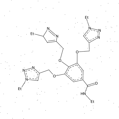 CCNC(=O)c1cc(OCc2cn(CC)nn2)c(OCC2=CC(CC)N=N2)c(OCc2cn(CC)nn2)c1